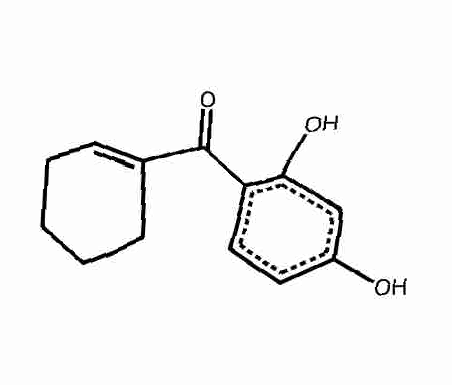 O=C(C1=CCCCC1)c1ccc(O)cc1O